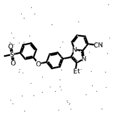 CCc1nc2c(C#N)cccn2c1-c1ccc(Oc2cccc(S(C)(=O)=O)c2)cc1